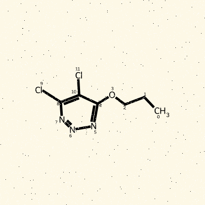 CCCOc1nnnc(Cl)c1Cl